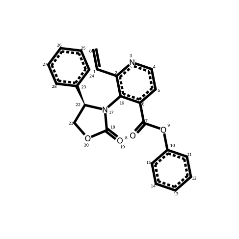 [CH]=Cc1nccc(C(=O)Oc2ccccc2)c1N1C(=O)OC[C@H]1c1ccccc1